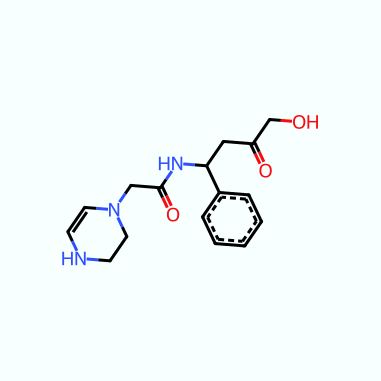 O=C(CO)CC(NC(=O)CN1C=CNCC1)c1ccccc1